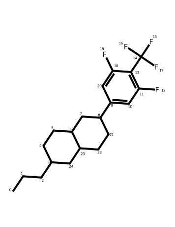 CCCC1CCC2CC(c3cc(F)c(C(F)(F)F)c(F)c3)CCC2C1